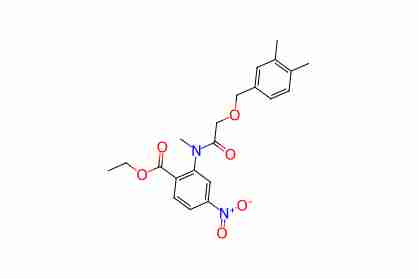 CCOC(=O)c1ccc([N+](=O)[O-])cc1N(C)C(=O)COCc1ccc(C)c(C)c1